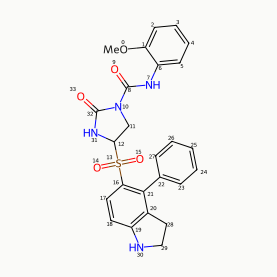 COc1ccccc1NC(=O)N1CC(S(=O)(=O)c2ccc3c(c2-c2ccccc2)CCN3)NC1=O